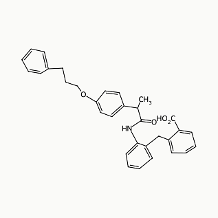 CC(C(=O)Nc1ccccc1Cc1ccccc1C(=O)O)c1ccc(OCCCc2ccccc2)cc1